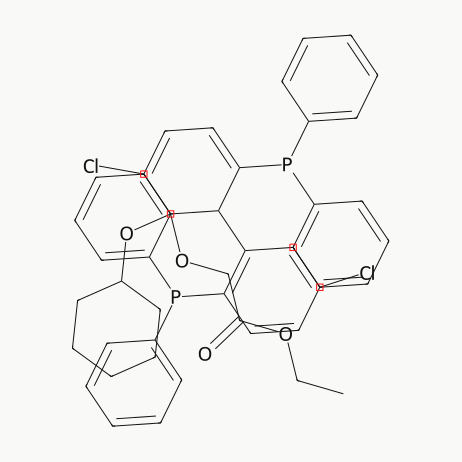 CCOC(=O)COC1(OC2CCCCC2)C(Cl)=CC=C(P(c2ccccc2)c2ccccc2)C1c1cc(Cl)ccc1P(c1ccccc1)c1ccccc1